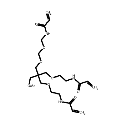 C=CC(=O)NCCOCC(COC)(COCCNC(=O)C=C)COCOCNC(=O)C=C